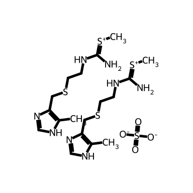 C/[S+]=C(\N)NCCSCc1nc[nH]c1C.C/[S+]=C(\N)NCCSCc1nc[nH]c1C.O=S(=O)([O-])[O-]